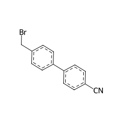 N#Cc1ccc(-c2ccc(CBr)cc2)cc1